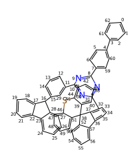 c1ccc(-c2ccc(-c3nc(-c4cccc(C5c6ccccc6-c6ccccc65)c4)nc(-c4cccc5c4C4(c6ccccc6Sc6ccccc64)c4ccccc4-5)n3)cc2)cc1